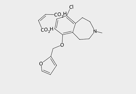 CN1CCc2c(Cl)ccc(OCc3ccco3)c2CC1.O=C(O)/C=C\C(=O)O